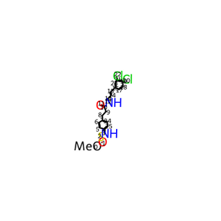 COOSNc1ccc(CCC(=O)NC/C=C/c2ccc(Cl)c(Cl)c2)cc1